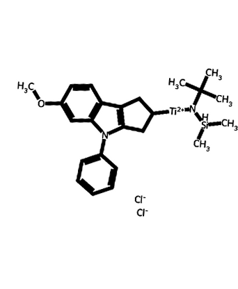 COc1ccc2c3c(n(-c4ccccc4)c2c1)C[CH]([Ti+2][N]([SiH](C)C)C(C)(C)C)C3.[Cl-].[Cl-]